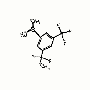 CC(F)(F)c1cc(B(O)O)cc(C(F)(F)F)c1